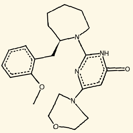 COc1ccccc1C[C@H]1CCCCCN1c1nc(N2CCOCC2)cc(=O)[nH]1